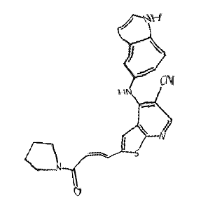 N#Cc1cnc2sc(C=CC(=O)N3CCCC3)cc2c1Nc1ccc2[nH]ccc2c1